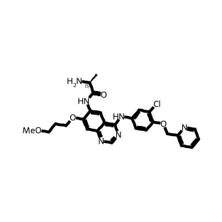 COCCCOc1cc2ncnc(Nc3ccc(OCc4ccccn4)c(Cl)c3)c2cc1NC(=O)[C@H](C)N